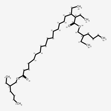 CCCCC(CC)COC(=O)CCCCCCCCCCCCCCCC(CC)C(CC)C(=O)OCC(CC)CCCC